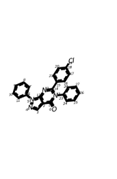 O=c1c2cnn(-c3ccccc3)c2nc(-c2ccc(Cl)cc2)n1-c1ccccc1